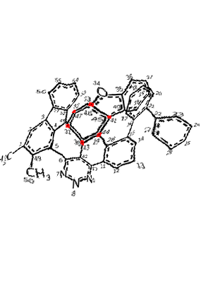 Cc1cc2c(c(-c3nnnc(-c4cccc(-c5ccccc5-c5ccccc5)c4-c4cccc5oc6ccccc6c45)c3-c3ccccc3)c1C)Cc1ccccc1-2